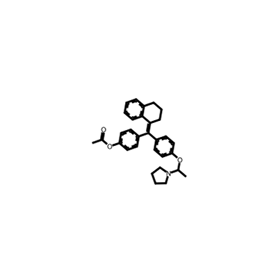 CC(=O)Oc1ccc(C(=C2CCCc3ccccc32)c2ccc(OC(C)N3CCCC3)cc2)cc1